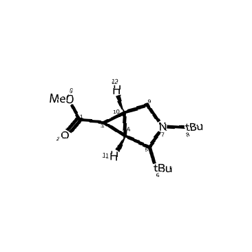 COC(=O)C1[C@H]2C(C(C)(C)C)N(C(C)(C)C)C[C@@H]12